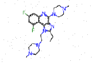 CCc1nc2c(N3CCN(C)CC3)nc3cc(F)cc(F)c3c2n1CCN1CCN(C)CC1